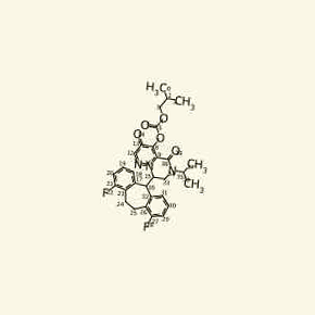 CC(C)COC(=O)Oc1c2n(ncc1=O)C(C1c3cccc(F)c3CCc3c(F)cccc31)CN(C(C)C)C2=O